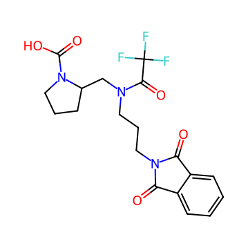 O=C1c2ccccc2C(=O)N1CCCN(CC1CCCN1C(=O)O)C(=O)C(F)(F)F